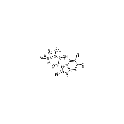 CC(=O)O[C@H]1[C@@H](O)[C@H](n2c(Br)nc3cc(Cl)c(Cl)cc32)OC[C@]1(OC(C)=O)C(C)=O